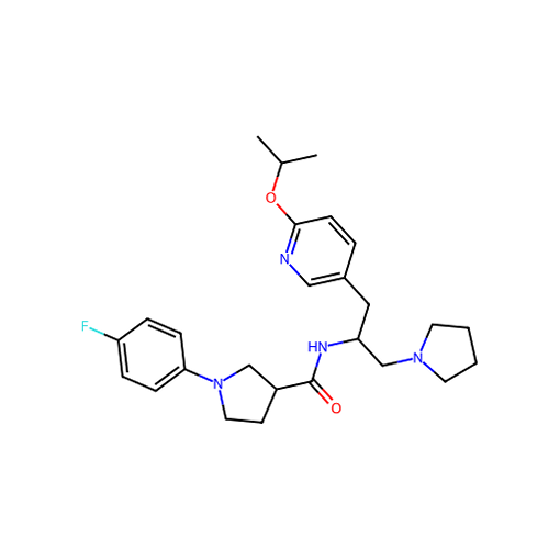 CC(C)Oc1ccc(CC(CN2CCCC2)NC(=O)C2CCN(c3ccc(F)cc3)C2)cn1